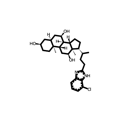 CC(CCc1nc2cccc(Cl)c2[nH]1)[C@H]1CC[C@H]2[C@@H]3[C@H](O)C[C@@H]4C[C@H](O)CC[C@]4(C)[C@H]3C[C@H](O)[C@]12C